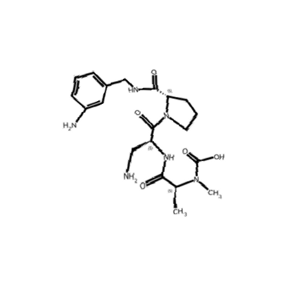 C[C@@H](C(=O)N[C@@H](CN)C(=O)N1CCC[C@H]1C(=O)NCc1cccc(N)c1)N(C)C(=O)O